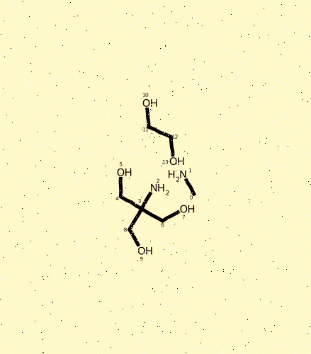 CN.NC(CO)(CO)CO.OCCO